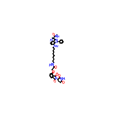 CNC(=O)c1cnc2ccc(NCCCCCCCCCCNC(=O)COc3cccc4c3C(=O)N(C3CCC(=O)NC3=O)C4=O)cc2c1NCc1ccccc1